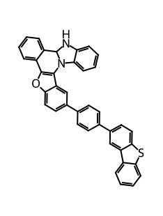 c1ccc2c(c1)NC1c3ccccc3-c3oc4ccc(-c5ccc(-c6ccc7sc8ccccc8c7c6)cc5)cc4c3N21